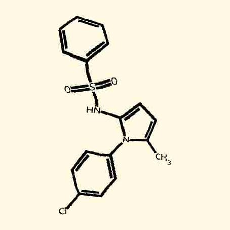 Cc1ccc(NS(=O)(=O)c2ccccc2)n1-c1ccc(Cl)cc1